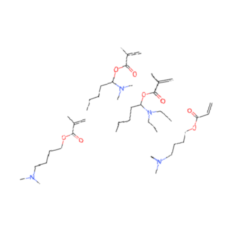 C=C(C)C(=O)OC(CCCC)N(C)C.C=C(C)C(=O)OC(CCCC)N(CC)CC.C=C(C)C(=O)OCCCCN(C)C.C=CC(=O)OCCCCN(C)C